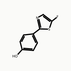 Oc1ccc(-c2n[c]c(F)s2)cc1